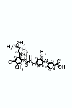 Cc1cc(NC(=O)NCc2ccc(Oc3ccnc(C(=O)O)c3)c(C)c2)c(N(C)CCN(C)C)cc1Cl